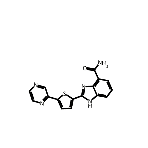 NC(=O)c1cccc2[nH]c(-c3ccc(-c4cnccn4)s3)nc12